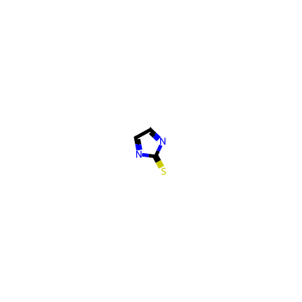 S=C1N=[C]C=N1